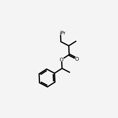 CC(C)CC(C)C(=O)OC(C)c1ccccc1